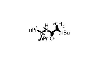 C=C(CCCC)C(=O)NN(CCC)CCC